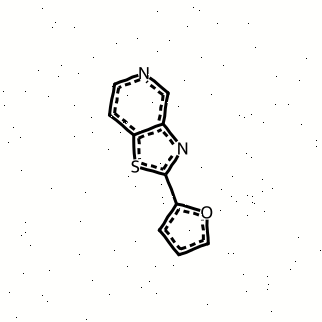 c1coc(-c2nc3cnccc3s2)c1